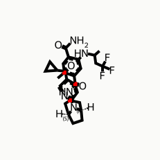 Cc1cc(C(N)=O)c(NC(C)CC(F)(F)F)cc1C(=O)N[C@H]1C[C@H]2CC[C@@H](C1)N2c1ccc(C(=O)C2CC2)cn1